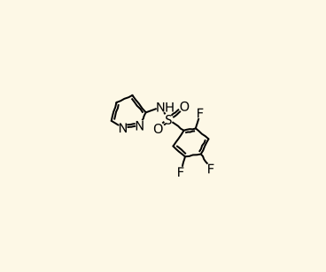 O=S(=O)(Nc1cccnn1)c1cc(F)c(F)cc1F